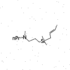 C/C=C/C[Si](C)(C)CCCN(C)CCC